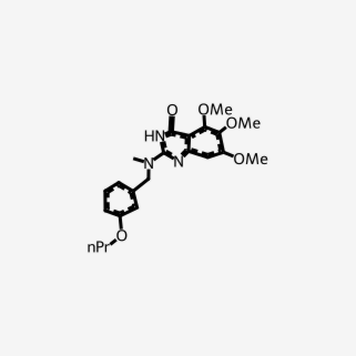 CCCOc1cccc(CN(C)c2nc3cc(OC)c(OC)c(OC)c3c(=O)[nH]2)c1